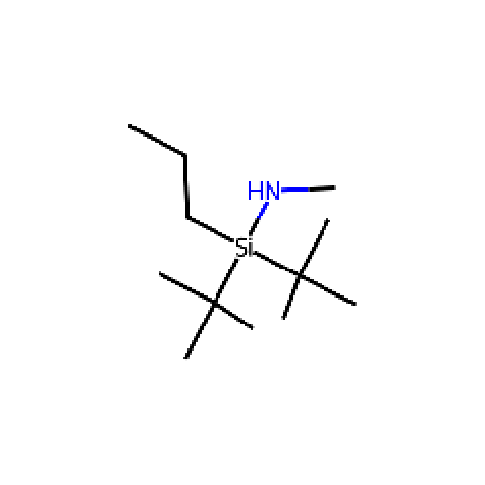 CCC[Si](NC)(C(C)(C)C)C(C)(C)C